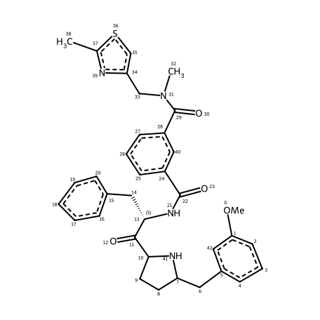 COc1cccc(CC2CCC(C(=O)[C@H](Cc3ccccc3)NC(=O)c3cccc(C(=O)N(C)Cc4csc(C)n4)c3)N2)c1